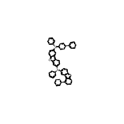 c1ccc(-c2ccc(N(c3ccccc3)c3ccc4oc5cc(N(c6ccccc6)c6ccc7sc8cccc(-c9ccccc9)c8c7c6)ccc5c4c3)cc2)cc1